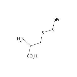 CCCSSCC(N)C(=O)O